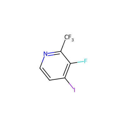 Fc1c(I)ccnc1C(F)(F)F